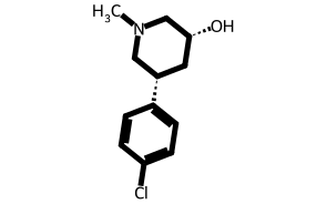 CN1C[C@H](O)C[C@H](c2ccc(Cl)cc2)C1